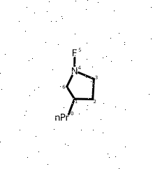 CCCC1CCN(F)C1